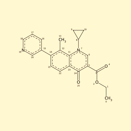 CCOC(=O)c1cn(C2CC2)c2c(C)c(-c3cccnc3)ccc2c1=O